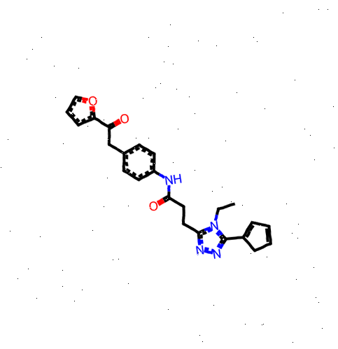 CCn1c(CCC(=O)Nc2ccc(CC(=O)c3ccco3)cc2)nnc1C1=CC=CC1